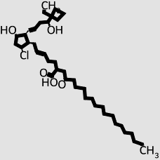 CCCCCCCCCCCCCCCCC(=O)CC(CCC=CC[C@@H]1[C@@H](C=CC[C@H](O)C2(CC)CCC2)[C@H](O)C[C@H]1Cl)C(=O)O